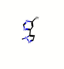 CC(C)c1cc(-c2ccnn2C)ncn1